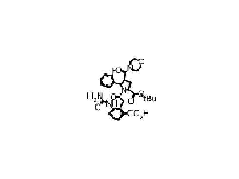 CC(C)(C)OC(=O)C1CC(C(=O)N2CCOCC2)C(c2ccccc2F)N1C(=O)Cc1c(NC(N)=O)cccc1C(=O)O